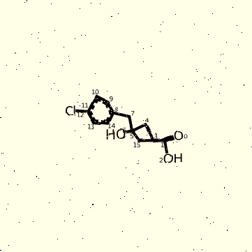 O=C(O)C1CC(O)(Cc2ccc(Cl)cc2)C1